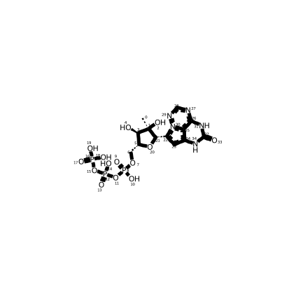 C[C@@]1(O)[C@H](O)[C@@H](COP(=O)(O)OP(=O)(O)OP(=O)(O)O)O[C@H]1c1cc2c3c(ncnn13)NC(=O)N2